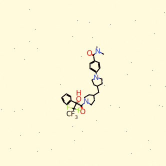 CN(C)C(=O)c1ccc(N2CCC(CC3CCN(C(=O)[C@](O)(c4ccccc4)C(F)(F)C(F)(F)F)CC3)CC2)cc1